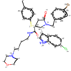 Cc1ccc(S[C@]2(C(=O)NCCCCN3CCOCC3)CC(=O)N(Cc3ccc(Br)cc3)[C@@H]2c2c[nH]c3cc(Cl)ccc23)cc1